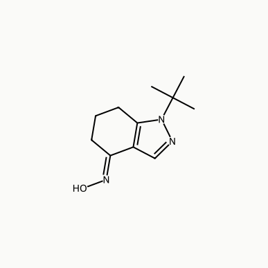 CC(C)(C)n1ncc2c1CCC/C2=N\O